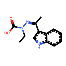 CCN(/N=C(/C)c1c[nH]c2ccccc12)C(=O)O